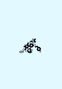 Cc1nc(COCc2nc(C)c([C@H](OC(C)(C)C)C(=O)O)c(N3CCC(C)(C)CC3)c2-c2ccc(OCCc3ccc(F)cc3)cc2)sc1C